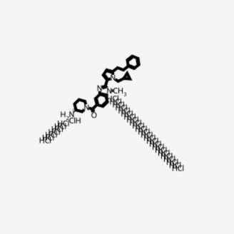 Cl.Cl.Cl.Cl.Cl.Cl.Cl.Cl.Cl.Cl.Cl.Cl.Cl.Cl.Cl.Cl.Cl.Cl.Cl.Cl.Cl.Cl.Cl.Cl.Cl.Cl.Cl.Cl.Cl.Cl.Cl.Cl.Cn1c(-c2ccc(CCc3ccccc3)n2CC2CC2)nc2cc(C(=O)N3CCC[C@@H](N)C3)ccc21